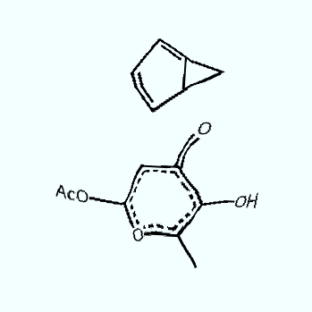 C1=CC2CC2=C1.CC(=O)Oc1cc(=O)c(O)c(C)o1